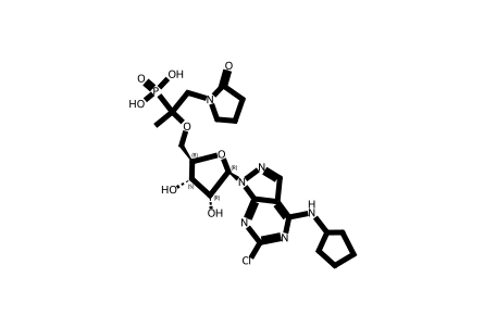 CC(CN1CCCC1=O)(OC[C@H]1O[C@@H](n2ncc3c(NC4CCCC4)nc(Cl)nc32)[C@H](O)[C@@H]1O)P(=O)(O)O